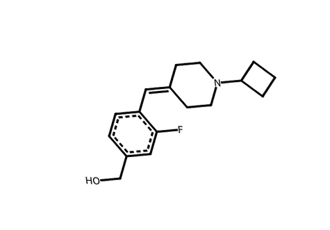 OCc1ccc(C=C2CCN(C3CCC3)CC2)c(F)c1